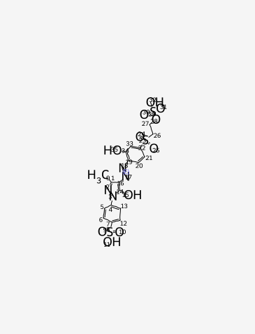 Cc1nn(-c2ccc(S(=O)(=O)O)cc2)c(O)c1/N=N/c1ccc(S(=O)(=O)CCOS(=O)(=O)O)cc1O